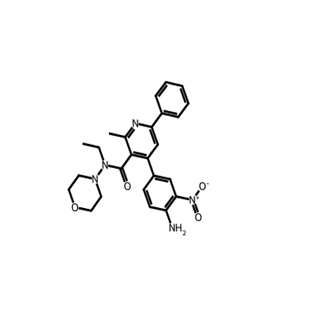 CCN(C(=O)c1c(-c2ccc(N)c([N+](=O)[O-])c2)cc(-c2ccccc2)nc1C)N1CCOCC1